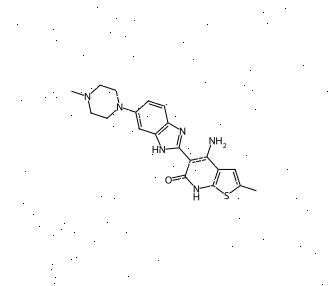 Cc1cc2c(N)c(-c3nc4ccc(N5CCN(C)CC5)cc4[nH]3)c(=O)[nH]c2s1